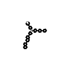 c1ccc(-c2ccc(-c3ccc(N(c4ccc(-c5ccccc5)cc4)c4ccc(-c5ccc6cc(-c7ccc8ccccc8c7)ccc6c5)cc4)cc3)cc2)cc1